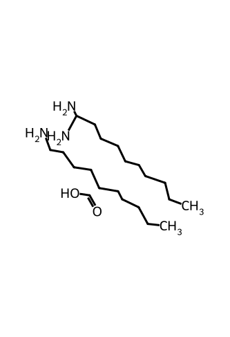 CCCCCCCCCC(N)N.CCCCCCCCCCN.O=CO